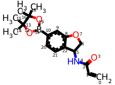 C=CC(=O)NC1COc2cc(B3OC(C)(C)C(C)(C)O3)ccc21